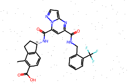 Cc1c(C(=O)O)ccc2c1CC[C@@H]2NC(=O)c1cc(C(=O)NCc2ccccc2C(F)(F)F)nc2ccnn12